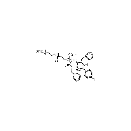 O=CNCCNC(=O)CC[C@@H](NC(=O)C(CC1C=CC=CC1)NC(=O)C(Cc1ccccc1)NC(=O)c1ccc(F)cc1)C(=O)O